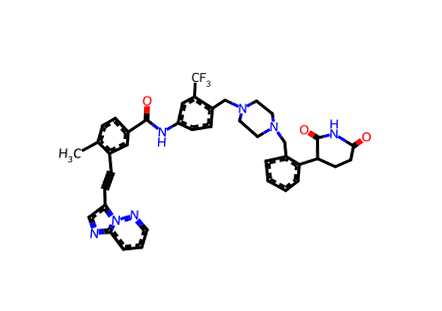 Cc1ccc(C(=O)Nc2ccc(CN3CCN(Cc4ccccc4C4CCC(=O)NC4=O)CC3)c(C(F)(F)F)c2)cc1C#Cc1cnc2cccnn12